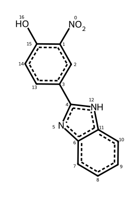 O=[N+]([O-])c1cc(-c2nc3ccccc3[nH]2)ccc1O